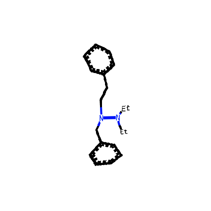 CCN(CC)N(CCc1ccccc1)Cc1ccccc1